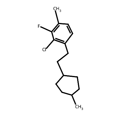 Cc1ccc(CCC2CCC(C)CC2)c(Cl)c1F